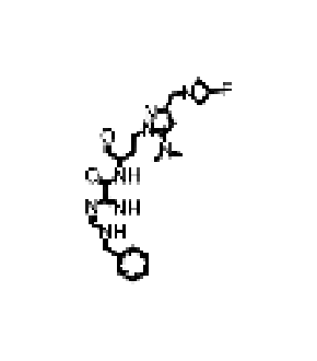 CN(C)c1cc(CN2CC(F)C2)nn1CCC(C=O)NC(=O)C(=N)/N=C\NCc1ccccc1